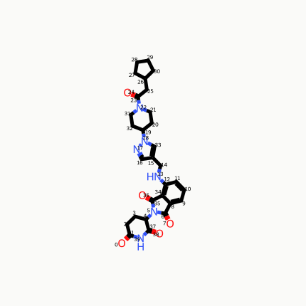 O=C1CCC(N2C(=O)c3cccc(NCc4cnn(C5CCN(C(=O)CC6CCCC6)CC5)c4)c3C2=O)C(=O)N1